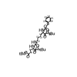 CC(C)(C)OC(=O)CCC(NC(=O)NCCCCC(NC(=O)OCc1ccccc1)C(=O)OC(C)(C)C)C(=O)OC(C)(C)C